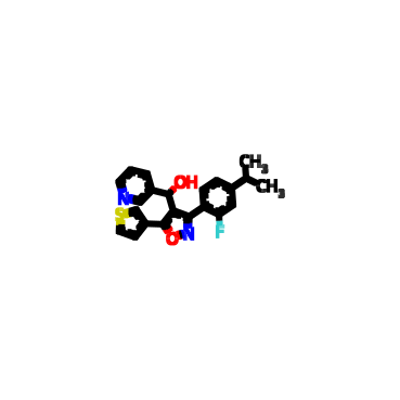 CC(C)c1ccc(-c2noc(-c3ccsc3)c2C(O)c2cccnc2)c(F)c1